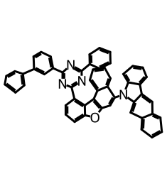 c1ccc(-c2cccc(-c3nc(-c4ccccc4)nc(-c4cccc5oc6cc(-n7c8ccccc8c8cc9ccccc9cc87)c7ccccc7c6c45)n3)c2)cc1